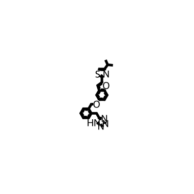 CC(C)c1csc(-c2cc3cc(OCc4ccccc4Cc4nnn[nH]4)ccc3o2)n1